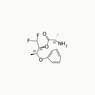 C[C@H](N)C(=O)O[C@H](C(F)F)[C@H](C)Oc1ccccc1